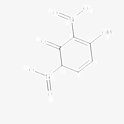 O=C1C([N+](=O)[O-])=C(O)C=CC1[N+](=O)[O-]